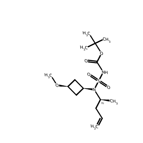 C=CC[C@H](C)N([C@H]1C[C@@H](OC)C1)S(=O)(=O)NC(=O)OC(C)(C)C